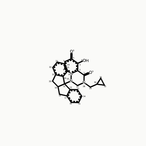 O=C1c2c(O)c(=O)ccn2N(C23c4ccccc4CC2Cc2ccccc23)CN1CC1CC1